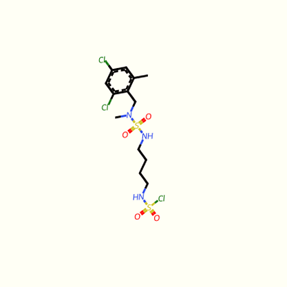 Cc1cc(Cl)cc(Cl)c1CN(C)S(=O)(=O)NCCCCNS(=O)(=O)Cl